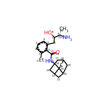 CCc1cccc(CC(O)[C@H](C)N)c1C(=O)NC12CC3CC4CC(C1)C42C3